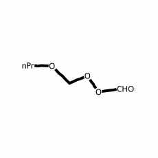 CCCOCOO[C]=O